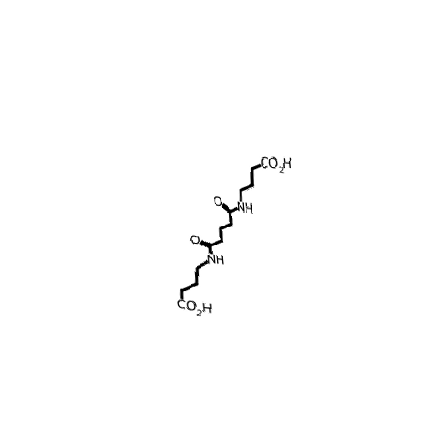 O=C(O)CCCNC(=O)CCCC(=O)NCCCC(=O)O